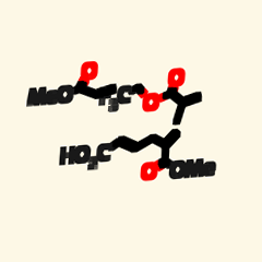 C=C(C)C(=O)OCC(F)(F)F.C=C(CC=CC(=O)O)C(=O)OC.C=CC(=O)OC